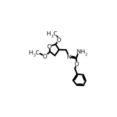 COC1CC(CN=C(N)OCc2ccccc2)C(OC)O1